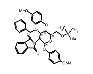 COc1ccc(O[C@H]2O[C@H](CO[Si](C)(C)C(C)(C)C)[C@@H](Oc3ccc(OC)cc3)[C@H](OCc3ccccc3)[C@@H]2N2C(=O)c3ccccc3C2=O)cc1